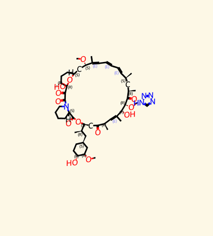 CO[C@H]1C[C@@H]2CC[C@@H](C)[C@@](O)(O2)C(=O)C(=O)N2CCCC[C@H]2C(=O)O[C@H]([C@H](C)C[C@@H]2CC[C@@H](O)[C@H](OC)C2)CC(=O)[C@H](C)/C=C(\C)[C@@H](O)[C@@H](OC)C(=O)[C@H](C)C[C@H](C)/C=C/C=C/C=C/1C.c1nnn[nH]1